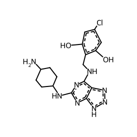 NC1CCC(Nc2nc(NCc3c(O)cc(Cl)cc3O)c3nn[nH]c3n2)CC1